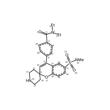 CCN(CC)C(=O)c1ccc(C2=CC3(CCNCC3)Oc3ccc(S(=O)(=O)NC)cc32)cc1